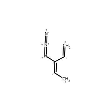 C=C/C(=C\C)N=[N+]=[N-]